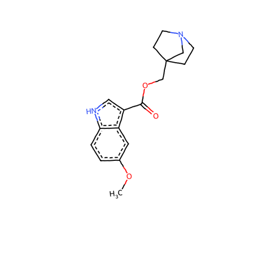 COc1ccc2[nH]cc(C(=O)OCC34CCN(CC3)C4)c2c1